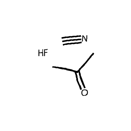 C#N.CC(C)=O.F